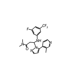 Cc1cnccc1-c1ccnn1C(CC(=O)N(C)C)Nc1cc(F)cc(C(F)(F)F)c1